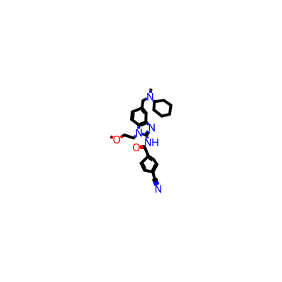 COCCn1c(NC(=O)c2ccc(C#N)cc2)nc2cc(CN(C)C3CCCCC3)ccc21